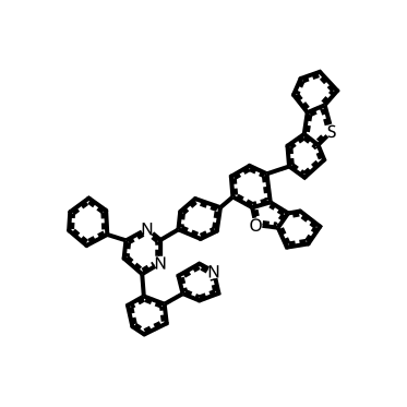 c1ccc(-c2cc(-c3ccccc3-c3ccncc3)nc(-c3ccc(-c4ccc(-c5ccc6sc7ccccc7c6c5)c5c4oc4ccccc45)cc3)n2)cc1